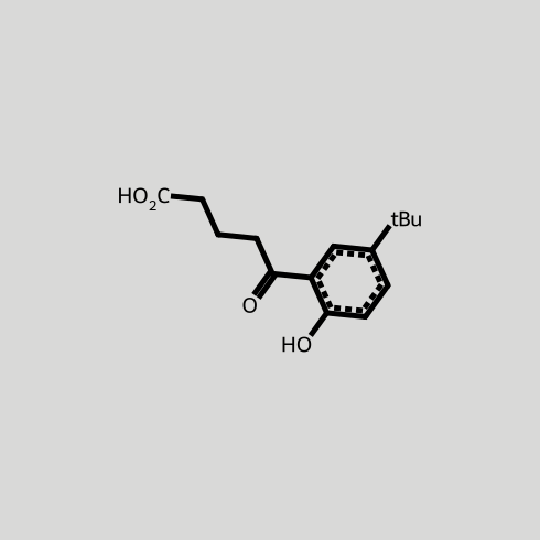 CC(C)(C)c1ccc(O)c(C(=O)CCCC(=O)O)c1